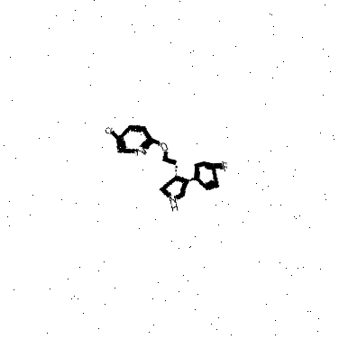 Fc1ccc([C@H]2CNC[C@@H]2CCOc2ccc(Cl)cn2)cc1